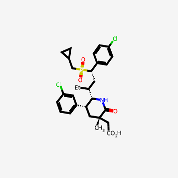 CCC(C[C@@H](c1ccc(Cl)cc1)S(=O)(=O)CC1CC1)[C@@H]1NC(=O)[C@](C)(CC(=O)O)C[C@@H]1c1cccc(Cl)c1